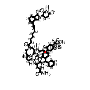 NC(=O)CCC(NC(=O)[C@@H]1CC[C@@H]2CCN(C(=O)CCCCCC#Cc3cccc4c3CN(C3CCC(=O)NC3=O)C4=O)C[C@H](NC(=O)c3cc4ccc(C(F)(F)P(=O)(O)O)cc4s3)C(=O)N21)C(=O)NC(c1ccccc1)c1ccccc1